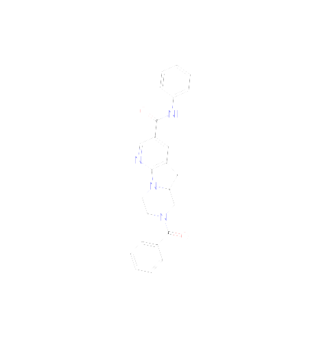 O=C(Nc1ccccc1)c1cnc2c(c1)CC1CN(C(=O)c3ccccc3)CCN21